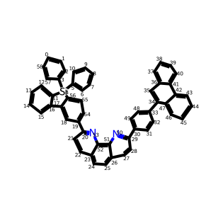 c1ccc([Si]2(c3ccccc3)c3ccccc3-c3cc(-c4ccc5ccc6ccc(-c7ccc(-c8cc9ccccc9c9ccccc89)cc7)nc6c5n4)ccc32)cc1